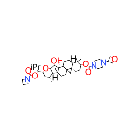 CC(C)[C@@H](OC(=O)N1CCC1)C1C[C@@H](C)[C@H]2C(O1)[C@H](O)[C@@]1(C)C3CC[C@H]4C(C)(C)[C@@H](OC(=O)N5CCN(C6COC6)CC5)CC[C@@]45C[C@@]35CC[C@]21C